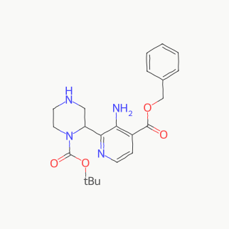 CC(C)(C)OC(=O)N1CCNCC1c1nccc(C(=O)OCc2ccccc2)c1N